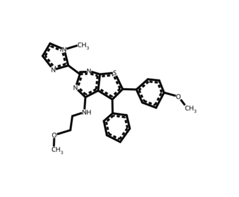 COCCNc1nc(-c2nccn2C)nc2sc(-c3ccc(OC)cc3)c(-c3ccccc3)c12